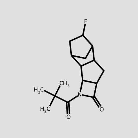 CC(C)(C)C(=O)N1C(=O)C2CC3C4CC(CC4F)C3C21